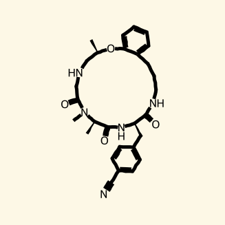 C[C@@H]1CNCC(=O)N(C)[C@H](C)C(=O)N[C@H](Cc2ccc(C#N)cc2)C(=O)NCCCc2ccccc2O1